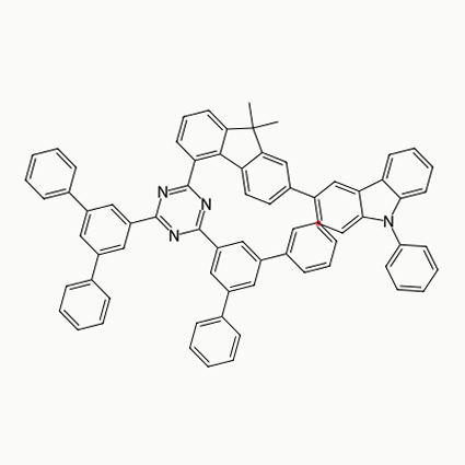 CC1(C)c2cc(-c3ccc4c(c3)c3ccccc3n4-c3ccccc3)ccc2-c2c(-c3nc(-c4cc(-c5ccccc5)cc(-c5ccccc5)c4)nc(-c4cc(-c5ccccc5)cc(-c5ccccc5)c4)n3)cccc21